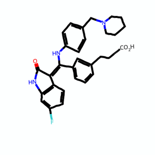 O=C(O)CCc1cccc(/C(Nc2ccc(CN3CCCCC3)cc2)=C2/C(=O)Nc3cc(F)ccc32)c1